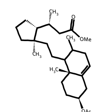 COC(=O)C[C@@H](C)[C@H]1CCC[C@]1(C)CCC1C(C)CC=C2C[C@@H](OC(C)=O)CC[C@@]21C